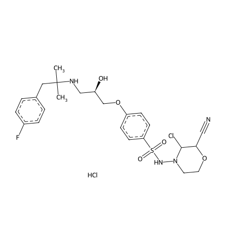 CC(C)(Cc1ccc(F)cc1)NC[C@@H](O)COc1ccc(S(=O)(=O)NN2CCOC(C#N)C2Cl)cc1.Cl